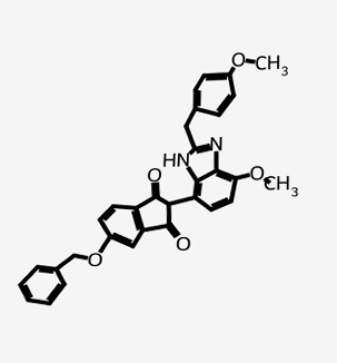 COc1ccc(Cc2nc3c(OC)ccc(C4C(=O)c5ccc(OCc6ccccc6)cc5C4=O)c3[nH]2)cc1